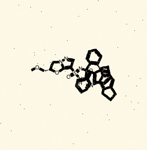 COC[C@@H]1Cn2ncc(S(=O)(=NC(c3ccccc3)(c3ccccc3)c3ccccc3)NC(=O)Nc3c4c(cc5c3[C@@H](C)C5)CCC4)c2O1